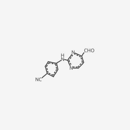 N#Cc1ccc(Nc2nccc(C=O)n2)cc1